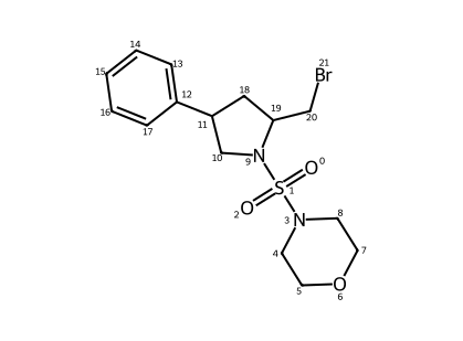 O=S(=O)(N1CCOCC1)N1CC(c2ccccc2)CC1CBr